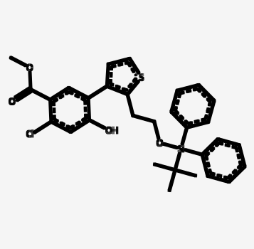 COC(=O)c1cc(-c2ccsc2CCO[Si](c2ccccc2)(c2ccccc2)C(C)(C)C)c(O)cc1Cl